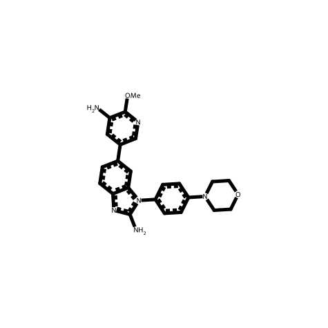 COc1ncc(-c2ccc3nc(N)n(-c4ccc(N5CCOCC5)cc4)c3c2)cc1N